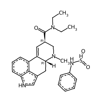 CCN(CC)C(=O)[C@@H]1C=C2c3cccc4[nH]cc(c34)C[C@H]2N(C)C1.O=[SH](=O)Nc1ccccc1